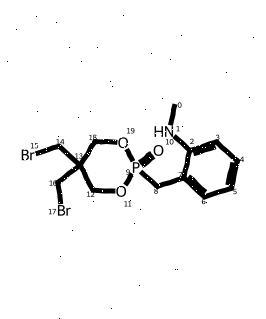 CNc1ccccc1CP1(=O)OCC(CBr)(CBr)CO1